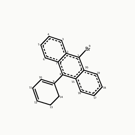 Brc1c2ccccc2c(C2=CC=CCC2)c2ccccc12